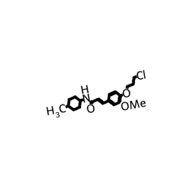 COc1cc(C=CC(=O)NC2CCC(C)CC2)ccc1OCCCCl